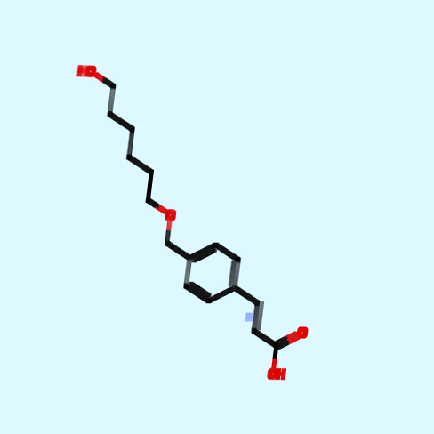 O=C(O)/C=C/c1ccc(COCCCCCCO)cc1